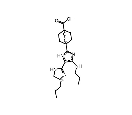 CCCNc1nc(C23CCC(C(=O)O)(CC2)CC3)[nH]c1C1=N[C@H](CCC)CN1